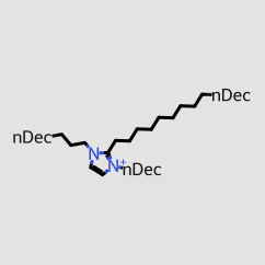 CCCCCCCCCCCCCCCCCCCc1n(CCCCCCCCCCCCC)cc[n+]1CCCCCCCCCC